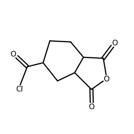 O=C(Cl)C1CCC2C(=O)OC(=O)C2C1